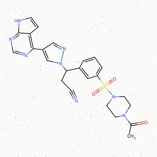 CC(=O)N1CCN(S(=O)(=O)c2cccc(C(CC#N)n3cc(-c4ncnc5[nH]ccc45)cn3)c2)CC1